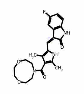 Cc1[nH]c(/C=C2\C(=O)Nc3ccc(F)cc32)c(C)c1C(=O)N1CCOCCOCC1